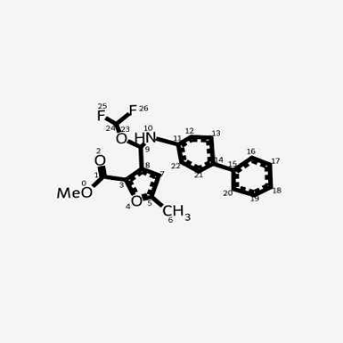 COC(=O)c1oc(C)cc1C(Nc1ccc(-c2ccccc2)cc1)OC(F)F